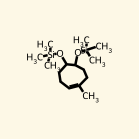 C/C1=C/CCC(O[Si](C)(C)C)C(O[Si](C)(C)C)CC1